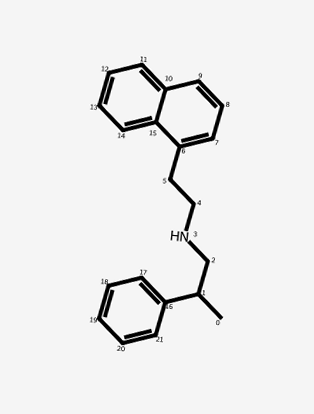 CC(CNCCc1cccc2ccccc12)c1ccccc1